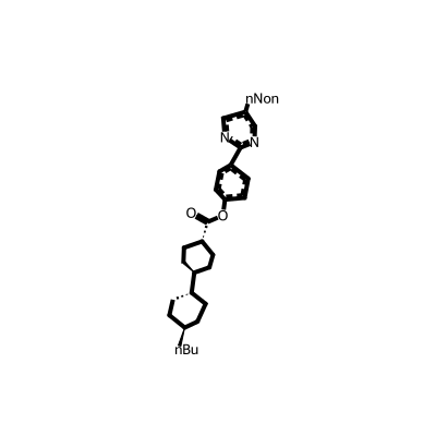 CCCCCCCCCc1cnc(-c2ccc(OC(=O)[C@H]3CC[C@H]([C@H]4CC[C@H](CCCC)CC4)CC3)cc2)nc1